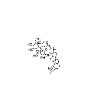 CC(C)=CC1COC23CC4(CO2)C(CCC2C5(C)CCC(OC6OCC(O)C(OC7OC(CO)C(O)C(O)C7O)C6OC6OC(CO)C(O)C6O)C(C)(C)C5CCC24C)C3C1(C)O